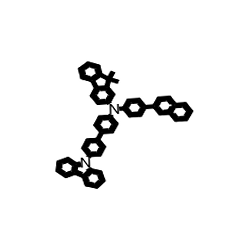 CC1(C)c2ccccc2-c2ccc(N(c3ccc(-c4ccc(-n5c6ccccc6c6ccccc65)cc4)cc3)c3ccc(-c4ccc5ccccc5c4)cc3)cc21